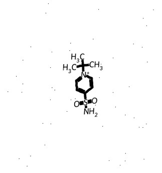 CC(C)(C)[n+]1ccc(S(N)(=O)=O)cc1